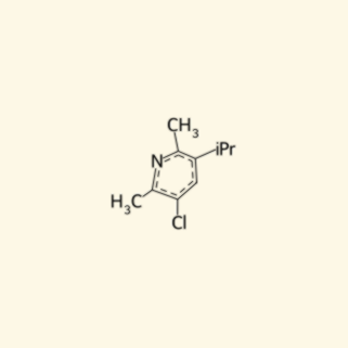 Cc1nc(C)c(C(C)C)cc1Cl